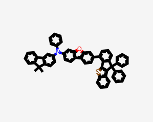 CC1(C)c2ccccc2-c2cc(N(c3ccccc3)c3ccc4c(c3)oc3cc(-c5cccc6c5-c5sc7ccccc7c5C6(c5ccccc5)c5ccccc5)ccc34)ccc21